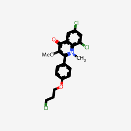 COc1c(-c2ccc(OCCCCl)cc2)n(C)c2c(Cl)cc(Cl)cc2c1=O